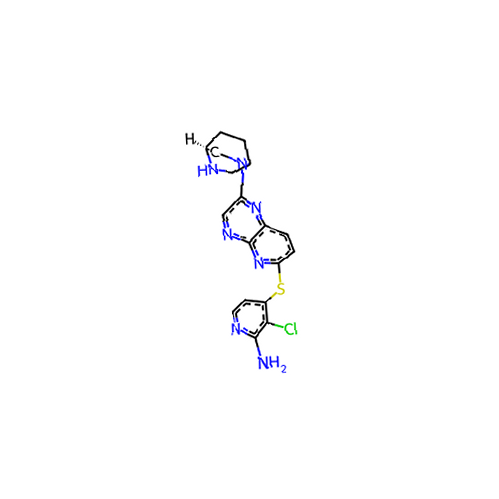 Nc1nccc(Sc2ccc3nc(N4C[C@@H]5CCC4CN5)cnc3n2)c1Cl